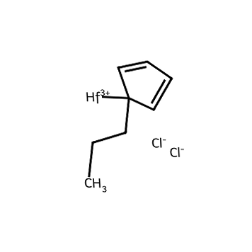 CCC[C]1([Hf+3])C=CC=C1.[Cl-].[Cl-]